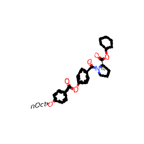 CCCCCCCCOc1ccc(C(=O)Oc2ccc(C(=O)N3CCC[C@H]3C(=O)OC3CCCCC3)cc2)cc1